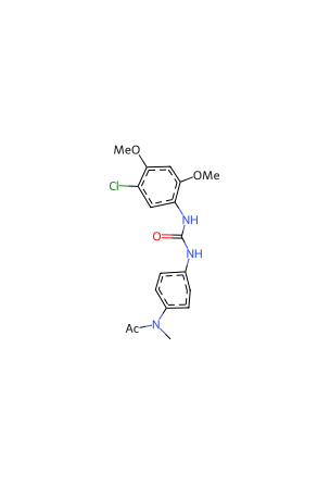 COc1cc(OC)c(NC(=O)Nc2ccc(N(C)C(C)=O)cc2)cc1Cl